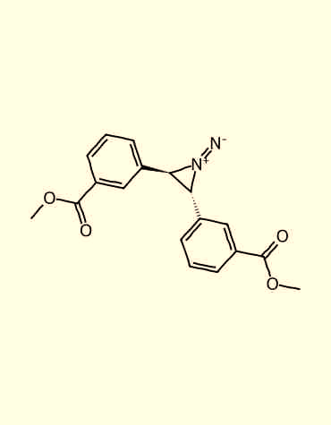 COC(=O)c1cccc([C@@H]2[C@@H](c3cccc(C(=O)OC)c3)[N+]2=[N-])c1